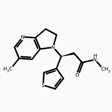 CNC(=O)C[C@@H](c1ccsc1)N1CCc2ncc(C)cc21